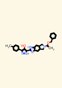 C=C(OCc1ccccc1)N1Cc2cc3nc(-c4[nH]nc(-c5ccc(C)cc5)c4O)[nH]c3cc2C1